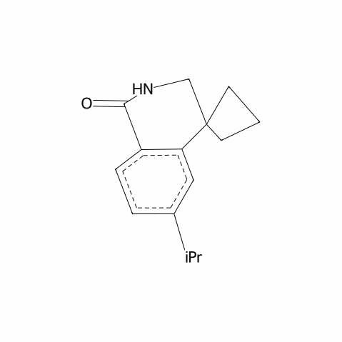 CC(C)c1ccc2c(c1)C1(CCC1)CNC2=O